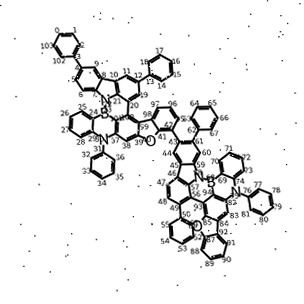 c1ccc(-c2ccc3c(c2)c2cc(-c4ccccc4)cc4c2n3B2c3ccccc3N(c3ccccc3)c3cc5oc6c(-c7cc8c9ccc(-c%10ccccc%10)c%10c9n(c8cc7-c7ccccc7)B7c8ccccc8N(c8ccccc8)c8cc9c(oc%11ccccc%119)c-%10c87)cccc6c5c-4c32)cc1